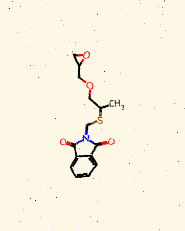 CC(COCC1CO1)SCN1C(=O)c2ccccc2C1=O